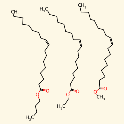 CCCCCCCC/C=C\CCCCCCCC(=O)OC.CCCCCCCC/C=C\CCCCCCCC(=O)OCC.CCCCCCCC/C=C\CCCCCCCC(=O)OCCCC